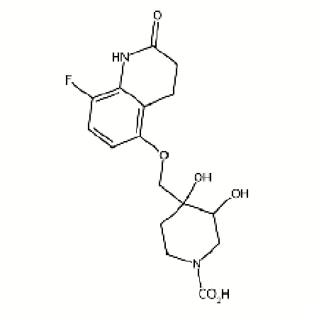 O=C1CCc2c(OCC3(O)CCN(C(=O)O)CC3O)ccc(F)c2N1